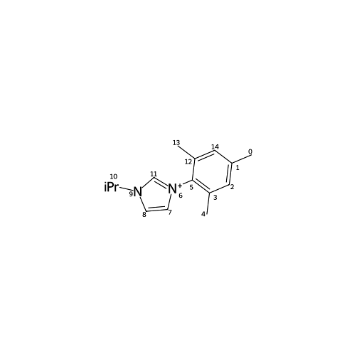 Cc1cc(C)c(-[n+]2ccn(C(C)C)c2)c(C)c1